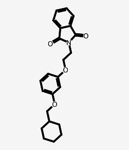 O=C1c2ccccc2C(=O)N1CCOc1cccc(OCC2CCCCC2)c1